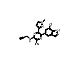 C#CCNc1nc(-c2ccn(C)n2)c(-c2cc(Cl)c3[nH]ncc3c2)nc1C#N